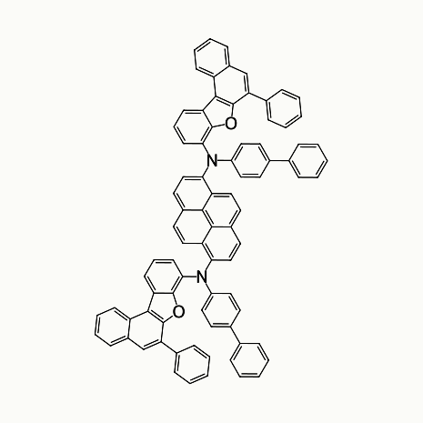 c1ccc(-c2ccc(N(c3ccc4ccc5c(N(c6ccc(-c7ccccc7)cc6)c6cccc7c6oc6c(-c8ccccc8)cc8ccccc8c67)ccc6ccc3c4c65)c3cccc4c3oc3c(-c5ccccc5)cc5ccccc5c34)cc2)cc1